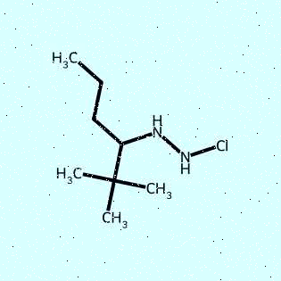 CCCC(NNCl)C(C)(C)C